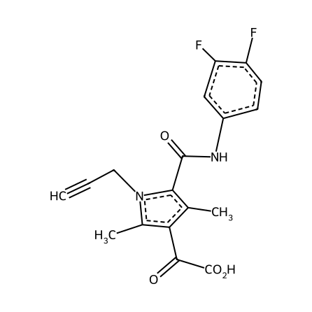 C#CCn1c(C)c(C(=O)C(=O)O)c(C)c1C(=O)Nc1ccc(F)c(F)c1